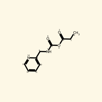 CCC(=O)OC(=O)NCc1ccccn1